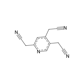 N#CCc1cc(CC#N)c(CC#N)cn1